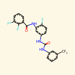 O=C(Nc1cccc(C(F)(F)F)c1)Nc1ccc(F)c(NC(=O)c2cccc(F)c2F)c1